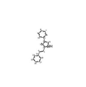 C(=Cc1nc(-c2ccccc2)c[nH]1)c1ccccc1